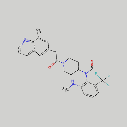 CNc1cccc(C(F)(F)F)c1N(C=O)C1CCN(C(=O)Cc2cc(C)c3ncccc3c2)CC1